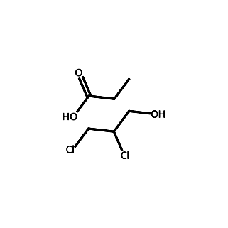 CCC(=O)O.OCC(Cl)CCl